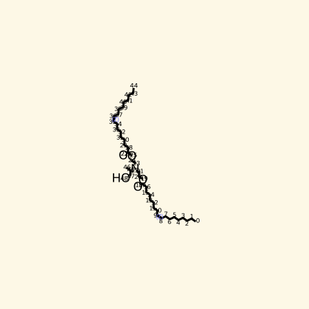 CCCCCCCC/C=C\CCCCCCCC(=O)OCCN(CCOC(=O)CCCCCCC/C=C\CCCCCCCC)C(C)CO